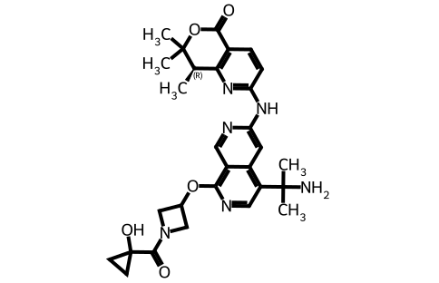 C[C@@H]1c2nc(Nc3cc4c(C(C)(C)N)cnc(OC5CN(C(=O)C6(O)CC6)C5)c4cn3)ccc2C(=O)OC1(C)C